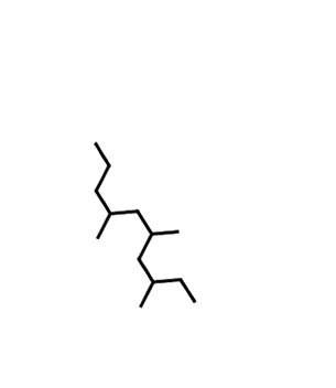 CCCC(C)CC(C)CC(C)CC